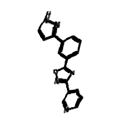 c1cncc(-c2noc(-c3cccc(-c4cc[nH]n4)c3)n2)c1